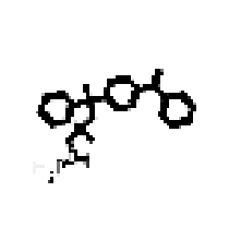 C=C(c1ccccc1)c1ccc(C(C)(CC(C)(C)CB(P)I)c2ccccc2)cc1